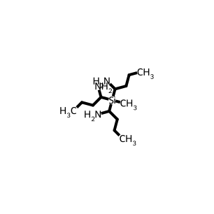 CCCC(N)[Si](C)(C(N)CCC)C(N)CCC